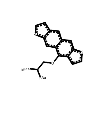 CCCCCCC(CCCC)COc1c2cc3sccc3cc2cc2sccc12